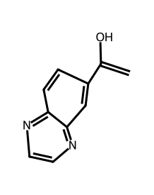 C=C(O)c1ccc2nccnc2c1